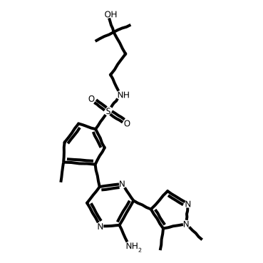 Cc1ccc(S(=O)(=O)NCCC(C)(C)O)cc1-c1cnc(N)c(-c2cnn(C)c2C)n1